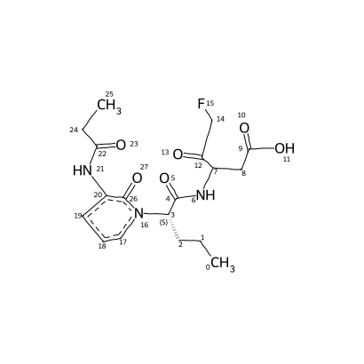 CCC[C@@H](C(=O)NC(CC(=O)O)C(=O)CF)n1cccc(NC(=O)CC)c1=O